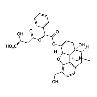 CN1CC[C@]23c4c5ccc(CO)c4O[C@H]2C(OC(=O)[C@@H](OC(=O)C[C@H](O)C(=O)O)c2ccccc2)=CC[C@@]3(O)[C@H]1C5